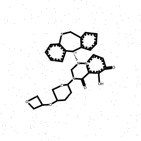 O=C1c2c(O)c(=O)ccn2N([C@H]2c3ccccc3CSc3ccccc32)CN1C1CCC(OC2COC2)CC1